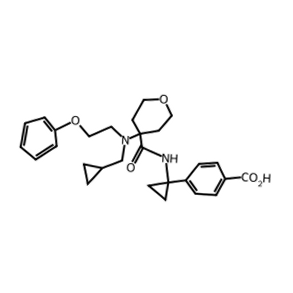 O=C(O)c1ccc(C2(NC(=O)C3(N(CCOc4ccccc4)CC4CC4)CCOCC3)CC2)cc1